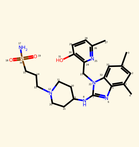 Cc1cc(C)c2nc(NC3CCN(CCCS(N)(=O)=O)CC3)n(Cc3nc(C)ccc3O)c2c1